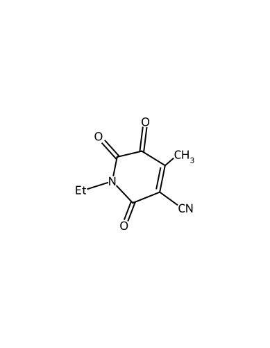 CCN1C(=O)C(=O)C(C)=C(C#N)C1=O